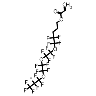 C=CC(=O)OCCCC(F)(F)C(F)(F)OC(F)(F)C(F)(F)OC(F)(F)C(F)(F)OC(F)(F)C(F)(F)C(F)(F)F